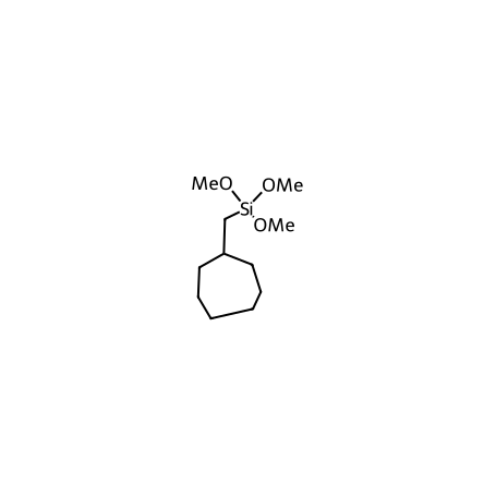 CO[Si](CC1CCCCCC1)(OC)OC